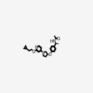 CC(=O)N[C@@H](C)c1ccc(O[C@@H]2CCN(c3ccnc(OCCC4CC4)c3)C2)cc1